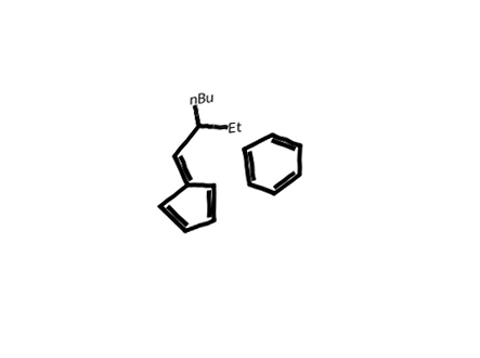 CCCCC(C=C1C=CC=C1)CC.c1ccccc1